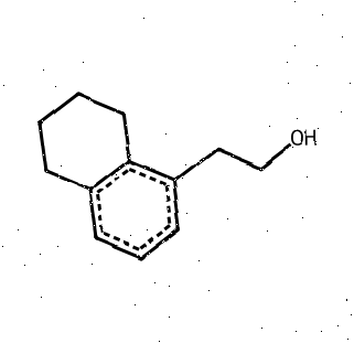 OCCc1cccc2c1CCCC2